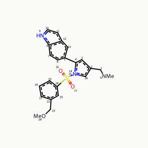 CNCc1cc(-c2ccc3[nH]ccc3c2)n(S(=O)(=O)c2cccc(COC)c2)c1